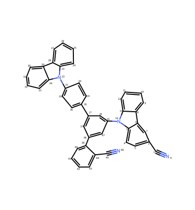 N#Cc1ccc2c(c1)c1ccccc1n2-c1cc(-c2ccc(-n3c4ccccc4c4ccccc43)cc2)cc(-c2ccccc2C#N)c1